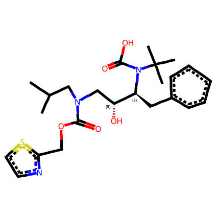 CC(C)CN(C[C@@H](O)[C@H](Cc1ccccc1)N(C(=O)O)C(C)(C)C)C(=O)OCc1nccs1